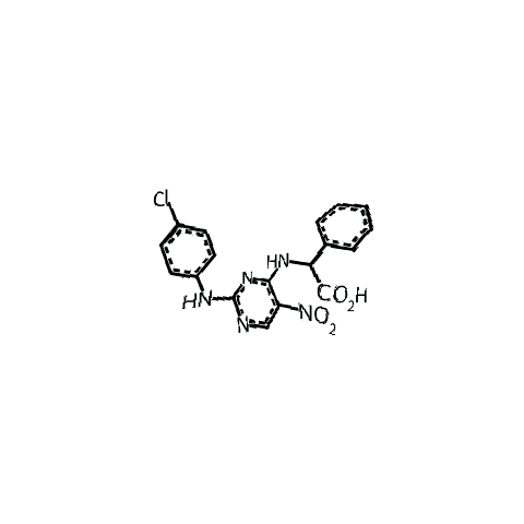 O=C(O)C(Nc1nc(Nc2ccc(Cl)cc2)ncc1[N+](=O)[O-])c1ccccc1